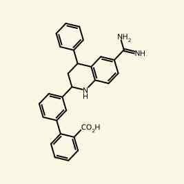 N=C(N)c1ccc2c(c1)C(c1ccccc1)CC(c1cccc(-c3ccccc3C(=O)O)c1)N2